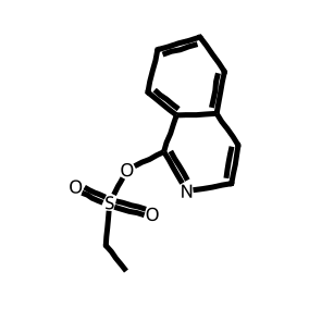 CCS(=O)(=O)Oc1nccc2ccccc12